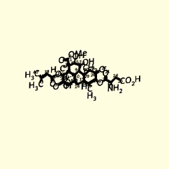 COC(=O)[C@@]1(C)[C@@H](O)[C@H](O)C2[C@@]3(CO)[C@@H](C[C@H]4C(C)=C(OC(=O)[C@@H](N)CC(=O)O)C(=O)C[C@]24C)OC(=O)[C@H](OC(=O)C=C(C)C)[C@@H]13